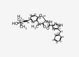 CN1C(=O)C(NC(=O)c2n[nH]c(Cc3ccccc3)n2)COc2ccc(C#CC(C)(C)O)nc21